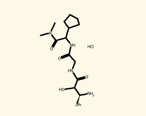 CCC[C@H](N)C(O)C(=O)NCC(=O)NC(C(=O)N(C)C)C1CCCC1.Cl